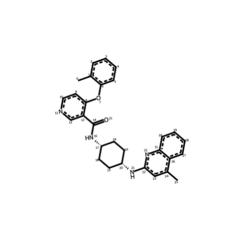 Cc1ccccc1Oc1ccncc1C(=O)N[C@H]1CC[C@@H](Nc2cc(C)c3ccccc3n2)CC1